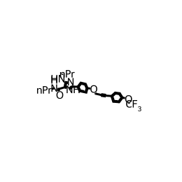 CCCNC(=O)c1[nH]c(-c2ccc(OCC#Cc3ccc(OC(F)(F)F)cc3)cc2)nc1NCCC